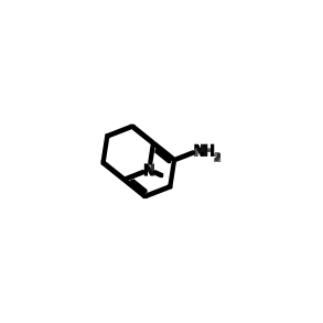 CN1C2=CCC(N)=C1CCC2